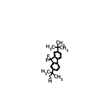 CC(C)(C)c1ccc2c(c1)C(F)(F)c1cc(C(C)(C)S)ccc1-2